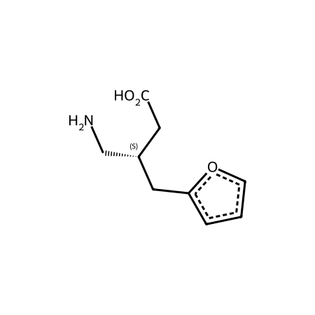 NC[C@H](CC(=O)O)Cc1ccco1